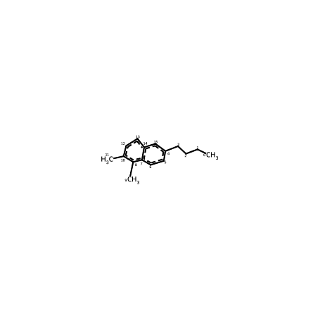 CCCCc1ccc2c(C)c(C)ccc2c1